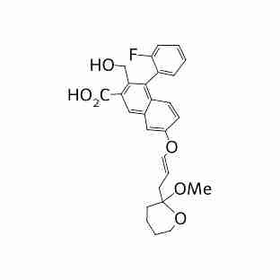 COC1(CC=COc2ccc3c(-c4ccccc4F)c(CO)c(C(=O)O)cc3c2)CCCCO1